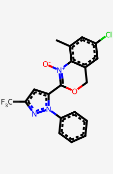 Cc1cc(Cl)cc2c1[N+]([O-])=C(c1cc(C(F)(F)F)nn1-c1ccccc1)OC2